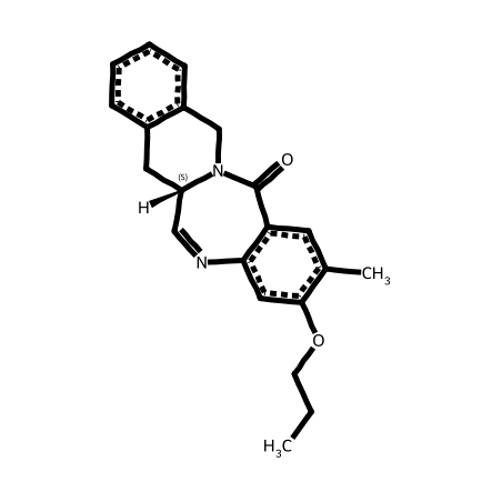 CCCOc1cc2c(cc1C)C(=O)N1Cc3ccccc3C[C@H]1C=N2